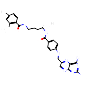 CC(C)(C)c1ccc(C(=O)NCCC[C@H](NC(=O)c2ccc(NCc3cnc4nc(N)nc(N)c4n3)cc2)C(=O)O)c(C(=O)O)c1